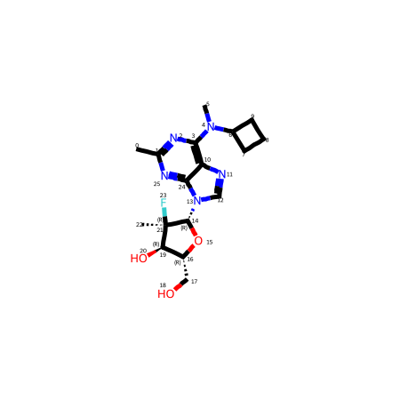 Cc1nc(N(C)C2CCC2)c2ncn([C@@H]3O[C@H](CO)[C@@H](O)[C@@]3(C)F)c2n1